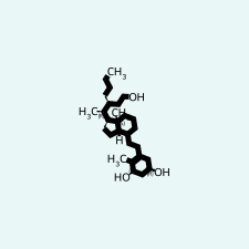 CCCC[C@H](CCO)[C@@H](C)[C@H]1CC[C@H]2C(CCC3=C(C)[C@@H](O)C[C@H](O)C3)CCC[C@]12C